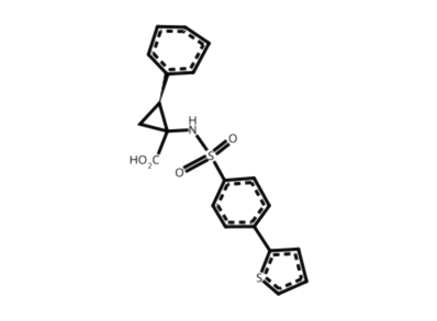 O=C(O)C1(NS(=O)(=O)c2ccc(-c3cccs3)cc2)C[C@H]1c1ccccc1